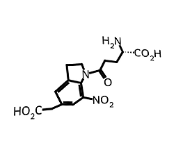 N[C@@H](CCC(=O)N1CCc2cc(CC(=O)O)cc([N+](=O)[O-])c21)C(=O)O